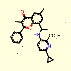 Cc1cc(C(C)Nc2ccc(C3CC3)nc2C(=O)O)c2oc(-c3ccccc3)c(C)c(=O)c2c1